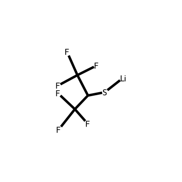 [Li][S]C(C(F)(F)F)C(F)(F)F